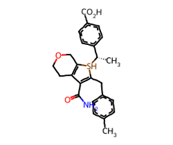 Cc1ccc(CC2=C(C(N)=O)C3=C(COCC3)[SH]2[C@@H](C)c2ccc(C(=O)O)cc2)cc1